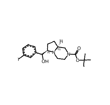 CC(C)(C)OC(=O)N1CCN2[C@@H](CC[C@@H]2C(O)c2cccc(I)c2)C1